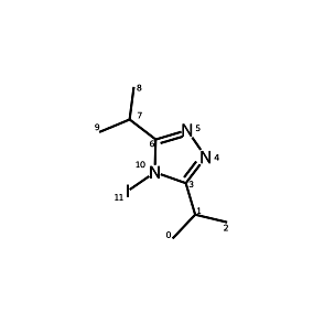 CC(C)c1nnc(C(C)C)n1I